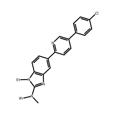 CCn1c(N(C)C(C)C)nc2cc(-c3ccc(-c4ccc(Cl)cc4)cn3)ccc21